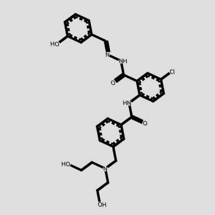 O=C(Nc1ccc(Cl)cc1C(=O)NN=Cc1cccc(O)c1)c1cccc(CN(CCO)CCO)c1